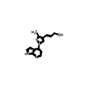 Cc1nn(-c2ccnc3[nH]ccc23)cc1/C=C/CO